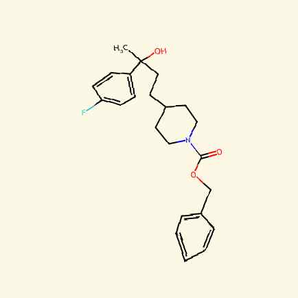 CC(O)(CCC1CCN(C(=O)OCc2ccccc2)CC1)c1ccc(F)cc1